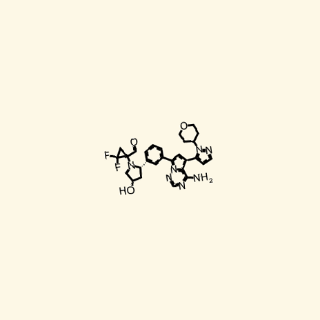 Nc1ncnn2c(-c3cccc([C@@H]4C[C@@H](O)CN4C4(C=O)CC4(F)F)c3)cc(-c3ccnn3C3CCOCC3)c12